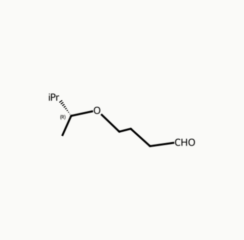 CC(C)[C@@H](C)OCCCC=O